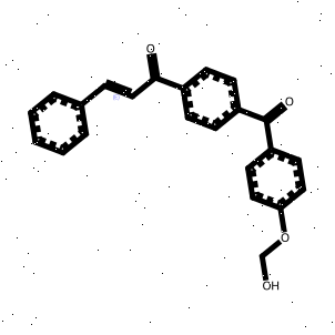 O=C(/C=C/c1ccccc1)c1ccc(C(=O)c2ccc(OCO)cc2)cc1